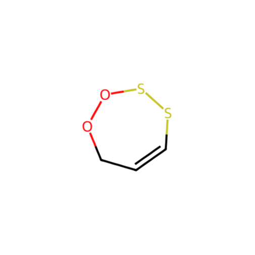 C1=CSSOOC1